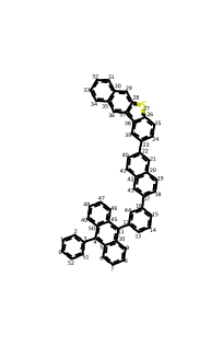 c1ccc(-c2c3ccccc3c(-c3cccc(-c4ccc5cc(-c6ccc7sc8cc9ccccc9cc8c7c6)ccc5c4)c3)c3ccccc23)cc1